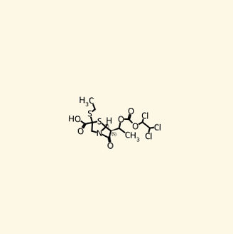 CCSC1(C(=O)O)CN2C(=O)[C@H](C(C)OC(=O)OC(Cl)C(Cl)Cl)[C@H]2S1